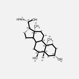 CCCCCC[C@H](O)[C@H]1CCC2C3C[C@H](O)[C@H]4C[C@@H](O)CC[C@]4(C)C3CC[C@@]21C